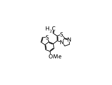 C=CC1=C(c2cc(OC)cc3ccsc23)N2CCN=C2S1